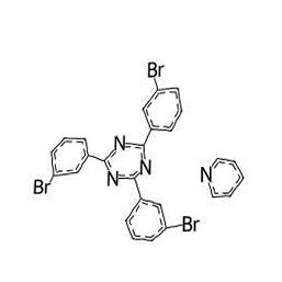 Brc1cccc(-c2nc(-c3cccc(Br)c3)nc(-c3cccc(Br)c3)n2)c1.c1ccncc1